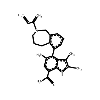 C=CC(=C)N1CCCc2c(cccc2-c2c(P)cc(C(N)=O)c3[nH]c(C)c(C)c23)C1